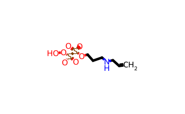 C=CCNCCCOS(=O)(=O)S(=O)(=O)OO